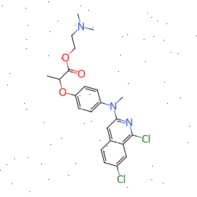 CC(Oc1ccc(N(C)c2cc3ccc(Cl)cc3c(Cl)n2)cc1)C(=O)OCCN(C)C